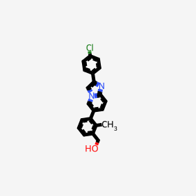 Cc1c(CO)cccc1-c1ccc2nc(-c3ccc(Cl)cc3)cn2c1